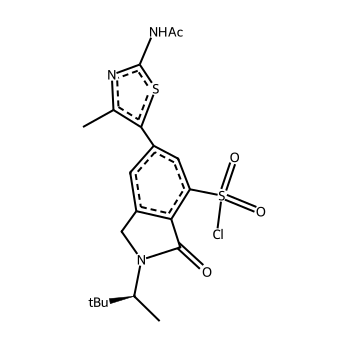 CC(=O)Nc1nc(C)c(-c2cc3c(c(S(=O)(=O)Cl)c2)C(=O)N([C@@H](C)C(C)(C)C)C3)s1